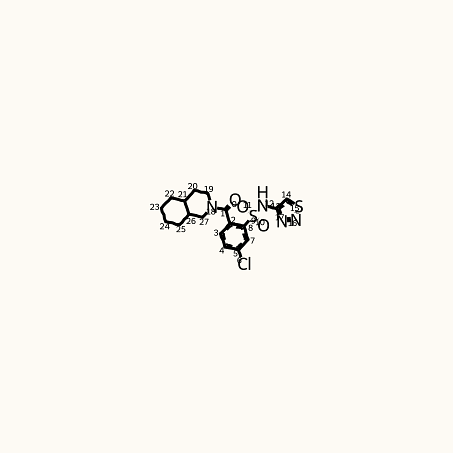 O=C(c1ccc(Cl)cc1S(=O)(=O)Nc1csnn1)N1CCC2CCCCC2C1